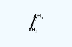 C=CCC=CC=CC=CCCCCCC